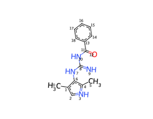 Cc1c[nH]c(C)c1NC(=N)NC(=O)c1ccccc1